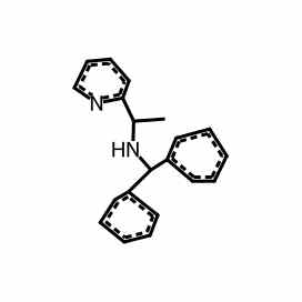 CC(NC(c1ccccc1)c1ccccc1)c1ccccn1